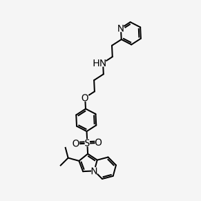 CC(C)c1cn2ccccc2c1S(=O)(=O)c1ccc(OCCCNCCc2ccccn2)cc1